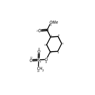 COC(=O)C1CCCC(OS(C)(=O)=O)C1